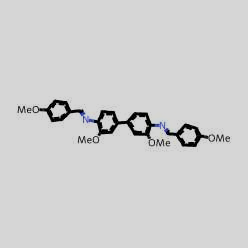 COc1ccc(C=Nc2ccc(-c3ccc(N=Cc4ccc(OC)cc4)c(OC)c3)cc2OC)cc1